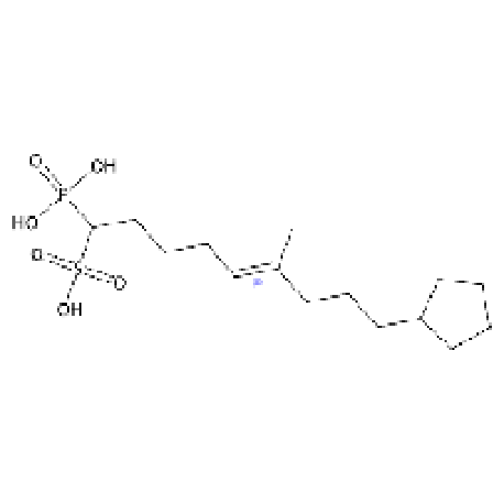 C/C(=C\CCCC(P(=O)(O)O)S(=O)(=O)O)CCCC1CCCC1